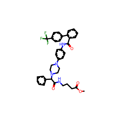 COC(=O)CCCNC(=O)C(c1ccccc1)N1CCN(c2ccc(NC(=O)c3ccccc3-c3ccc(C(F)(F)F)cc3)cc2)CC1